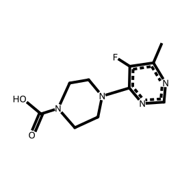 Cc1ncnc(N2CCN(C(=O)O)CC2)c1F